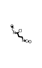 O=C=NCCC(Cl)N=C=O